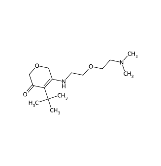 CN(C)CCOCCNC1=C(C(C)(C)C)C(=O)COC1